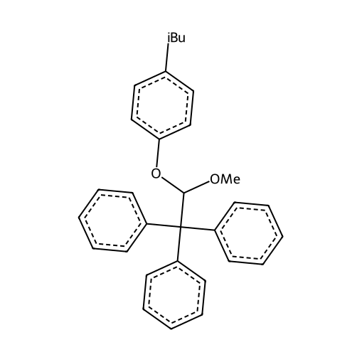 CCC(C)c1ccc(OC(OC)C(c2ccccc2)(c2ccccc2)c2ccccc2)cc1